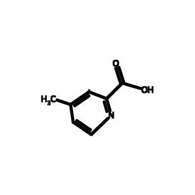 Cc1[c]c(C(=O)O)ncc1